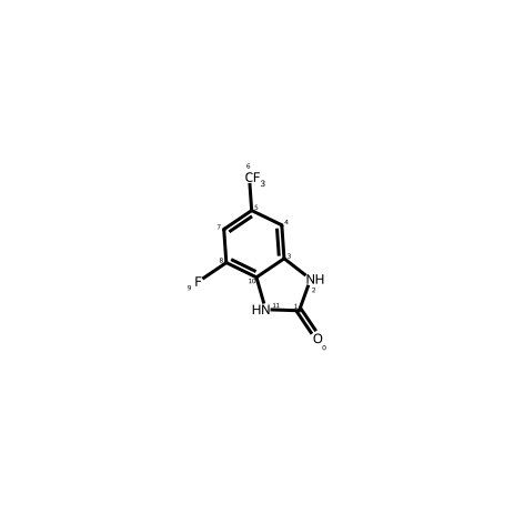 O=c1[nH]c2cc(C(F)(F)F)cc(F)c2[nH]1